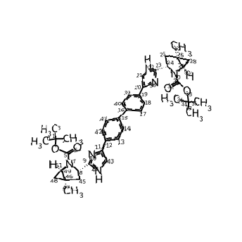 CC(C)(C)OC(=O)N1[C@H](c2nc(-c3ccc(-c4ccc(-c5c[nH]c([C@@H]6C[C@@]7(C)C[C@H]7N6C(=O)OC(C)(C)C)n5)cc4)cc3)c[nH]2)C[C@@]2(C)C[C@@H]12